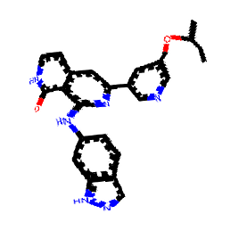 CC(C)Oc1cncc(-c2cc3cc[nH]c(=O)c3c(Nc3ccc4cn[nH]c4c3)n2)c1